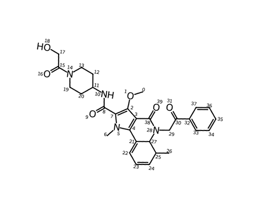 COc1c2c(n(C)c1C(=O)NC1CCN(C(=O)CO)CC1)C1=CC=CC(C)C1N(CC(=O)c1ccccc1)C2=O